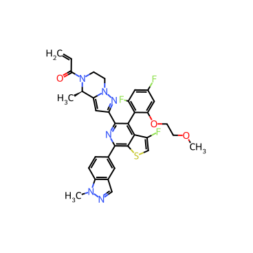 C=CC(=O)N1CCn2nc(-c3nc(-c4ccc5c(cnn5C)c4)c4scc(F)c4c3-c3c(F)cc(F)cc3OCCOC)cc2[C@H]1C